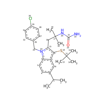 CC(C)c1ccc2c(c1)c(SC(C)(C)C)c(CC(C)(C)NC(N)=O)n2Cc1ccc(Cl)cc1